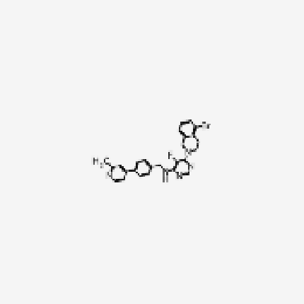 Cc1cc(-c2ccc(CNc3ncnc(N4CCc5c(Br)cccc5C4)c3F)cc2)ccn1